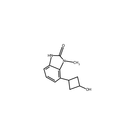 Cn1c(=O)[nH]c2cccc(C3CC(O)C3)c21